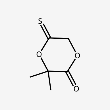 CC1(C)OC(=S)COC1=O